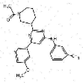 COc1cncc(-c2cc(Nc3cccc(C)c3)nc(C3CCCN(C(C)=O)C3)n2)c1